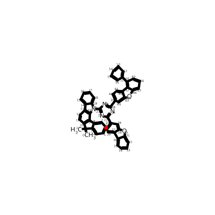 CC1(C)c2ccccc2-c2c1ccc1c3ccccc3n(-c3nc(-c4ccc5c(c4)oc4ccccc45)nc(-c4ccc5c(c4)oc4cccc(-c6ccccc6)c45)n3)c21